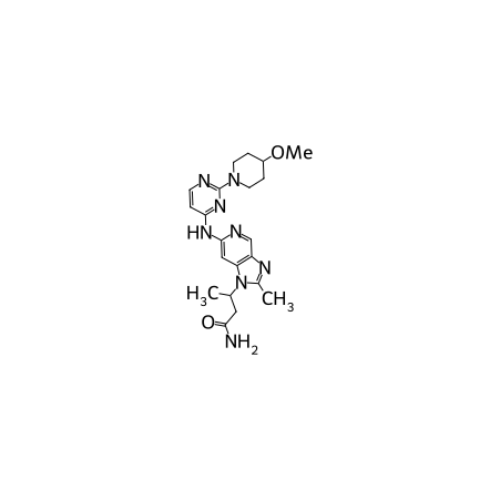 COC1CCN(c2nccc(Nc3cc4c(cn3)nc(C)n4C(C)CC(N)=O)n2)CC1